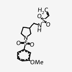 C=CS(=O)(=O)NCC1CCN(S(=O)(=O)c2cccc(OC)c2)C1